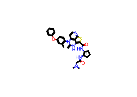 C=c1[nH]c2c(C(=O)N[C@H]3CCCC3NC(=O)CN(C)C)sc3nccc(c32)n1-c1ccc(Oc2ccccc2)cc1C